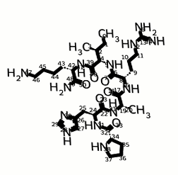 CC[C@H](C)[C@H](NC(=O)[C@H](CCCNC(=N)N)NC(=O)[C@H](C)NC(=O)[C@H](Cc1c[nH]cn1)NC(=O)[C@@H]1CCCN1)C(=O)N[C@@H](CCCCN)C(N)=O